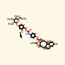 C#CCOc1cc(O[C@@H]2O[C@H](COC(C)=O)[C@@H](OC(C)=O)[C@H](OC(C)=O)[C@H]2OC(C)=O)ccc1COC(=O)Nc1ccc(OCC(=O)[C@@]23OC(CCC)O[C@@H]2CC[C@@H]2CCC4=CC(=O)C=C[C@]4(C)[C@H]2[C@@H](O)C[C@@H]3C)cc1